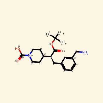 CC(C)(C)OC(=O)[C@@H](Cc1cccc(CN)c1)C1CCN(C(=O)O)CC1